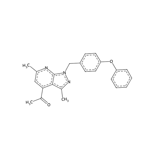 CC(=O)c1cc(C)nc2c1c(C)nn2Cc1ccc(Oc2ccccc2)cc1